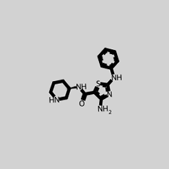 Nc1nc(Nc2ccccc2)sc1C(=O)N[C@@H]1CCCNC1